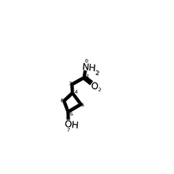 NC(=O)CC1CC(O)C1